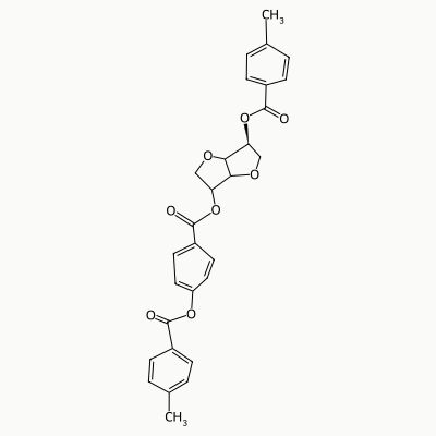 Cc1ccc(C(=O)Oc2ccc(C(=O)OC3COC4C3OC[C@@H]4OC(=O)c3ccc(C)cc3)cc2)cc1